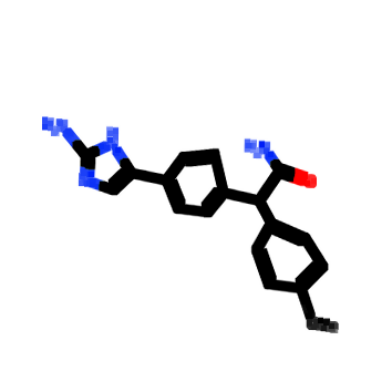 COc1ccc(C(C(N)=O)c2ccc(-c3cnc(N)[nH]3)cc2)cc1